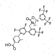 CC1=CC(C(=O)O)=CCC1c1cc(-c2ccc(C(F)(F)F)cc2CN2C(=O)O[C@H](c3cc(C(F)(F)F)cc(C(F)(F)F)c3)[C@@H]2C)c(F)cc1F